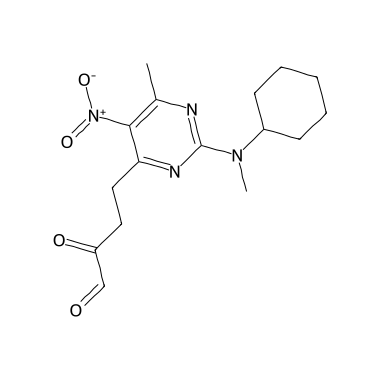 Cc1nc(N(C)C2CCCCC2)nc(CCC(=O)C=O)c1[N+](=O)[O-]